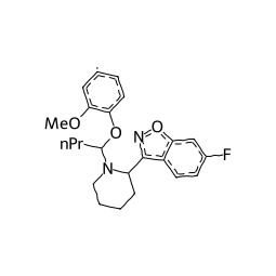 CCCC(Oc1cc[c]cc1OC)N1CCCCC1c1noc2cc(F)ccc12